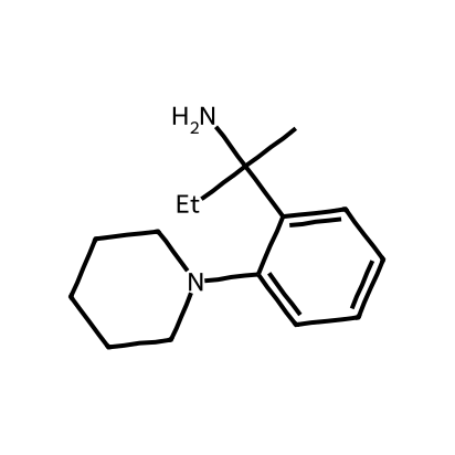 CCC(C)(N)c1ccccc1N1CCCCC1